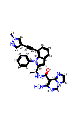 C[C@H](NC(=O)c1c(N)ncn2ccnc12)c1cc2cccc(C#Cc3cnn(C)c3)c2n1-c1ccccc1